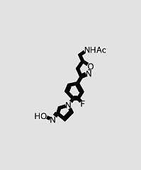 CC(=O)NCC1CC(c2ccc(N3C=CC(=NO)C3)c(F)c2)=NO1